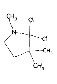 CN1CCC(C)(C)C1(Cl)Cl